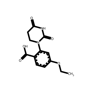 CCOc1ccc(C(=O)O)c(N2CCC(=O)NC2=O)c1